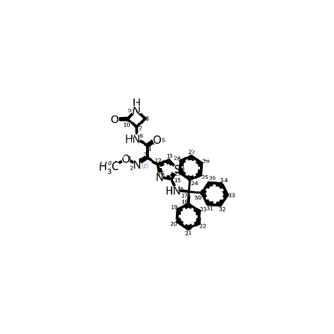 CO/N=C(\C(=O)NC1CNC1=O)c1csc(NC(c2ccccc2)(c2ccccc2)c2ccccc2)n1